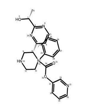 C[C@@H](O)c1nccc([C@H]2CNCC[N+]2(C(=O)Oc2cccnc2)c2ccccc2)n1